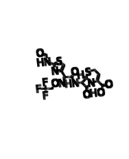 O=CNc1nc(C(=NOCC(F)(F)F)C(=O)NC2C(=O)N3C(C(=O)O)=CCS[C@@H]23)cs1